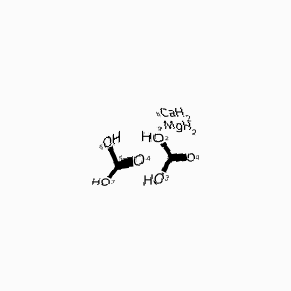 O=C(O)O.O=C(O)O.[CaH2].[MgH2]